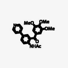 COc1cc(C(=O)c2cc(-c3ccncc3)ccc2NC(C)=O)cc(OC)c1OC